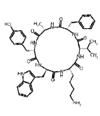 CC(C)[C@@H]1NC(=O)[C@H](CCCCN)NC(=O)[C@@H](Cc2c[nH]c3ccccc23)NC(=O)[C@H](Cc2ccc(O)cc2)NC(=O)[C@H](C)NC(=O)[C@H](Cc2ccccc2)NC1=O